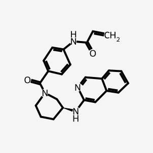 C=CC(=O)Nc1ccc(C(=O)N2CCC[C@H](Nc3cc4ccccc4cn3)C2)cc1